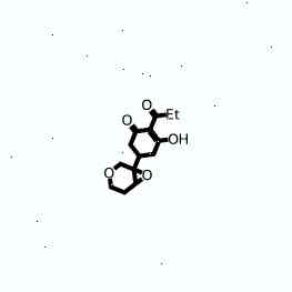 CCC(=O)C1=C(O)CC(C23COCCC2O3)CC1=O